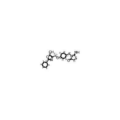 Cc1oc(-c2ccccc2)nc1COc1ccc(CN2C(=N)SCC2=O)cc1